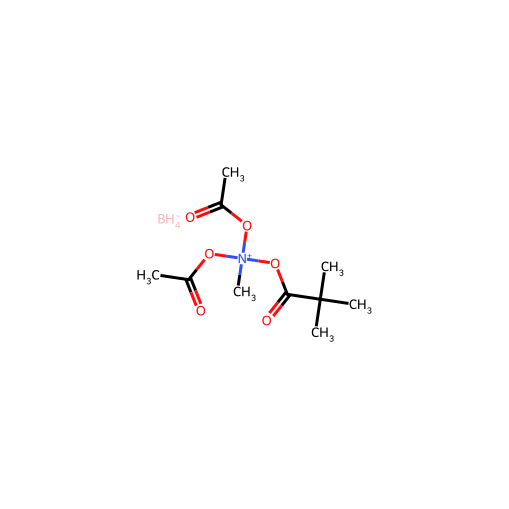 CC(=O)O[N+](C)(OC(C)=O)OC(=O)C(C)(C)C.[BH4-]